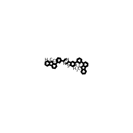 CC1(C)c2ccccc2-c2cccc(-c3cccc(-c4ccc5sc6nc(-c7cccc(-c8cccc9c8C(C)(C)c8ccccc8-9)c7)cnc6c5c4)c3)c21